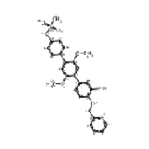 COc1cc(-c2ccc(OCc3ccccn3)c(F)c2)c(OC)cc1-c1ccc(OS(C)(=O)=O)cc1